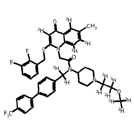 [2H]c1c(C)c([2H])c2c(=O)c([2H])c(SCc3cccc(F)c3F)n(CC(=O)N(C3CCN(C([2H])([2H])C([2H])([2H])OC([2H])([2H])[2H])CC3)C([2H])([2H])c3ccc(-c4ccc(C(F)(F)F)cc4)cc3)c2c1[2H]